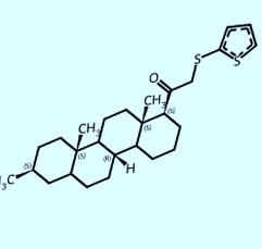 C[C@H]1CC[C@@]2(C)C(CC[C@@H]3C2CC[C@@]2(C)C3CCC[C@@H]2C(=O)CSc2cccs2)C1